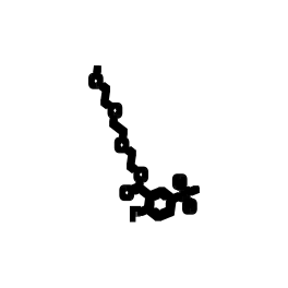 COCCOCCOCCOC(=O)c1cc(S(C)(=O)=O)ccc1F